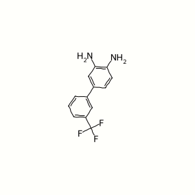 Nc1ccc(-c2cccc(C(F)(F)F)c2)cc1N